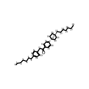 CCCCCCCc1ccc(CC(=O)c2ccc([C@H]3CC[C@H](CCCCCCC)CC3)cc2)cc1